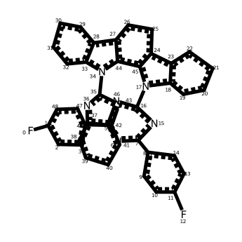 Fc1ccc(-c2nc(-c3ccc(F)cc3)nc(-n3c4ccccc4c4ccc5c6ccccc6n(-c6nc7ccccc7s6)c5c43)n2)cc1